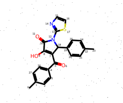 Cc1ccc(C(=O)C2=C(O)C(=O)N(c3nccs3)C2c2ccc(C)cc2)cc1